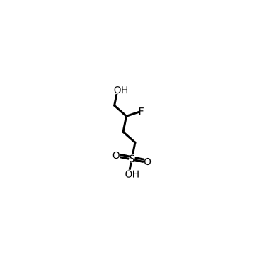 O=S(=O)(O)CCC(F)CO